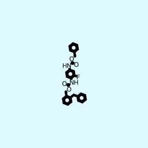 O=C(Nc1ccc(NC(=O)OCc2ccccc2Cc2ccccc2)c(F)c1)OCc1ccccc1